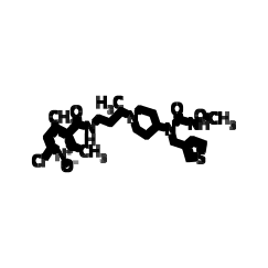 CONC(=O)N(Cc1ccsc1)C1CCN([C@H](C)CCNC(=O)c2c(C)cc(Cl)[n+]([O-])c2C)CC1